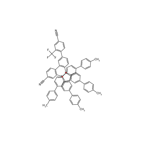 Cc1ccc(-c2ccc3c(c2)c2cc(-c4ccc(C)cc4)ccc2n3-c2ccc(-c3ccc(C#N)cc3C(F)(F)F)cc2-c2ccc(C#N)cc2-n2c3ccc(-c4ccc(C)cc4)cc3c3cc(-c4ccc(C)cc4)ccc32)cc1